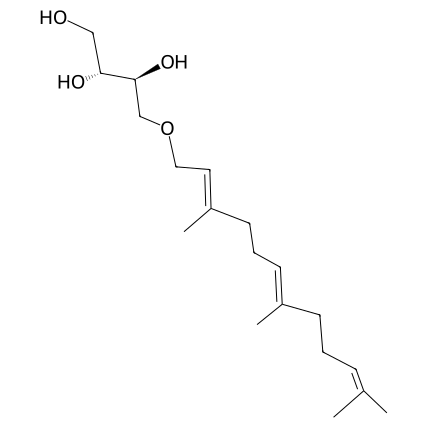 CC(C)=CCC/C(C)=C/CC/C(C)=C/COC[C@H](O)[C@H](O)CO